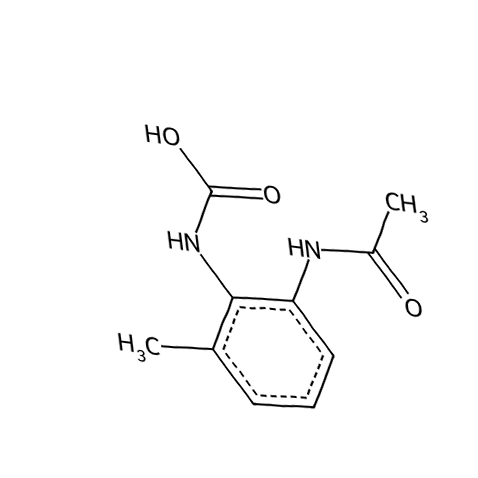 CC(=O)Nc1cccc(C)c1NC(=O)O